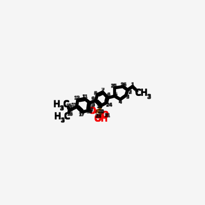 CCC1CCC(c2ccc(-c3ccc(C(C)C)cc3)c(S(=O)(=O)O)c2)CC1